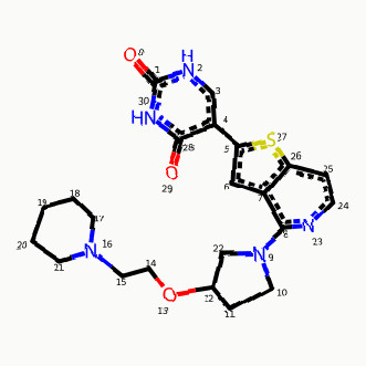 O=c1[nH]cc(-c2cc3c(N4CCC(OCCN5CCCCC5)C4)nccc3s2)c(=O)[nH]1